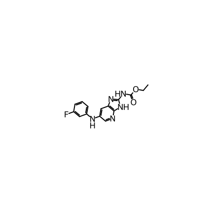 CCOC(=O)Nc1nc2cc(Nc3cccc(F)c3)cnc2[nH]1